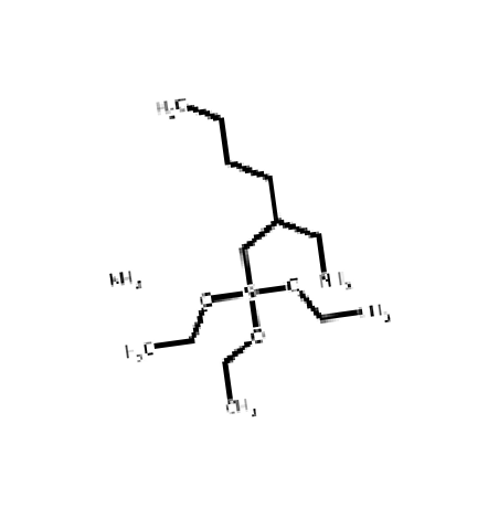 CCCCC(CN)C[Si](OCC)(OCC)OCC.N